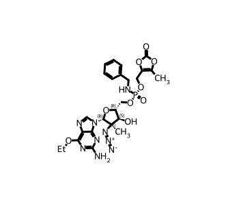 CCOc1nc(N)nc2c1ncn2[C@@H]1O[C@H](COP(=O)(NCc2ccccc2)OCc2oc(=O)oc2C)[C@@H](O)[C@@]1(C)N=[N+]=[N-]